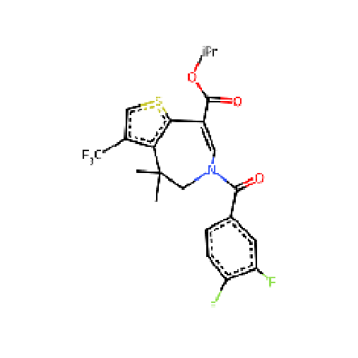 CC(C)OC(=O)C1=CN(C(=O)c2ccc(F)c(F)c2)CC(C)(C)c2c(C(F)(F)F)csc21